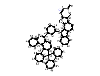 C=C/C=C\c1oc2c(ccc3c4ccccc4n(-c4cccc(-c5nc6ccccc6c6c7c(ccc56)C5(c6ccccc6-c6ccccc65)c5ccccc5-7)c4)c32)c1C